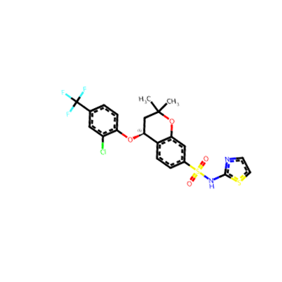 CC1(C)C[C@H](Oc2ccc(C(F)(F)F)cc2Cl)c2ccc(S(=O)(=O)Nc3nccs3)cc2O1